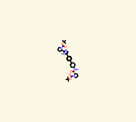 CC(C)(C)OC(=O)N1CCCC1c1ncc(-c2ccc(C3=CCC(NC(=O)[C@@H]4CCCN4C(=O)OC(C)(C)C)CC3)cc2)[nH]1